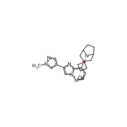 Cn1cc(-c2cn3nccc(N4CC5CCC(C4)N5[C@H]4C[C@@H](C#N)C4)c3n2)cn1